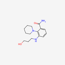 NC(=O)c1cccc(NCCCO)c1N1CCCCC1